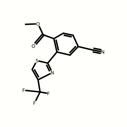 COC(=O)c1ccc(C#N)cc1-c1nc(C(F)(F)F)cs1